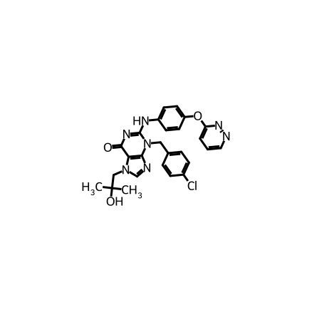 CC(C)(O)Cn1cnc2c1c(=O)nc(Nc1ccc(Oc3cccnn3)cc1)n2Cc1ccc(Cl)cc1